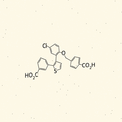 O=C(O)c1ccc(COc2ccc(Cl)cc2-c2ccsc2-c2cccc(C(=O)O)c2)cc1